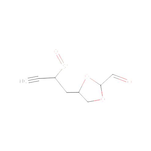 C#CC(CC1COC(C=O)O1)[S+]=O